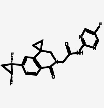 O=C(CN1CC2(CC2)c2cc([C@]3(F)C[C@@H]3F)ccc2C1=O)Nc1ncc(F)cn1